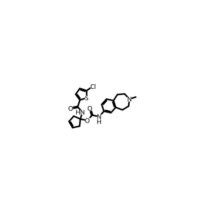 CN1CCc2ccc(NC(=O)OC3(NC(=O)c4ccc(Cl)s4)CC=CC3)cc2CC1